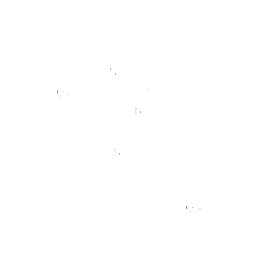 COc1cccc(CNC(=O)c2[nH]c(=O)c(CC(C)C)[n+]([O-])c2OC)c1